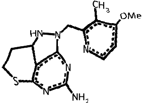 COc1ccnc(CN2NC3CCSc4nc(N)nc2c43)c1C